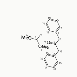 COC(C)OC.O=C(Cc1ccccc1)Cc1ccccc1